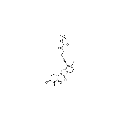 CC(C)(C)OC(=O)NCCC#Cc1c(F)ccc2c1CN(C1CCC(=O)NC1=O)C2=O